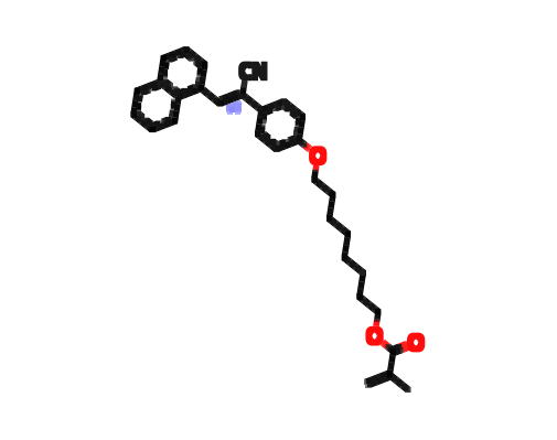 C=C(C)C(=O)OCCCCCCCCOc1ccc(/C(C#N)=C/c2cccc3ccccc23)cc1